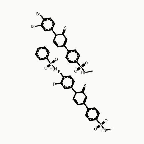 NS(=O)(=O)c1ccccc1.O=S(=O)(NF)c1ccc(C2=CC(=S)C(c3ccc(Br)c(Br)c3)C=C2)cc1.O=S(=O)(NF)c1ccc(C2=CC(=S)C(c3ccc(F)c(F)c3)C=C2)cc1